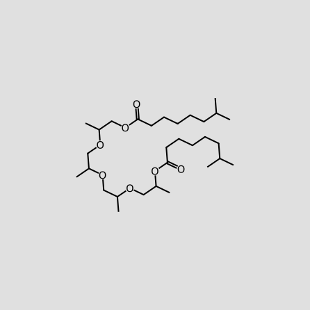 CC(C)CCCCCC(=O)OCC(C)OCC(C)OCC(C)OCC(C)OC(=O)CCCCCC(C)C